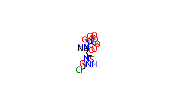 COC(=O)C1C(NC(=O)Cc2csc(NC(=O)CCl)n2)C(=O)N1S(=O)(=O)[O-].[Na+]